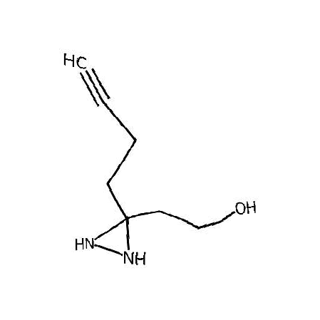 C#CCCC1(CCO)NN1